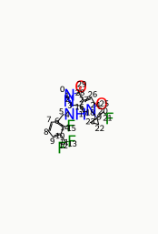 Cn1nc(NCc2cccc(C(F)F)c2F)c2cn(C3(CF)CC3)c(=O)cc2c1=O